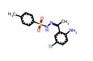 CC(=NNS(=O)(=O)c1ccc(C)cc1)c1cc(Cl)ccc1N